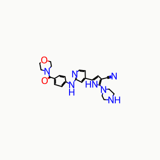 N#Cc1cc(-c2ccnc(Nc3ccc(C(=O)N4CCOCC4)cc3)c2)[nH]c1N1CCNCC1